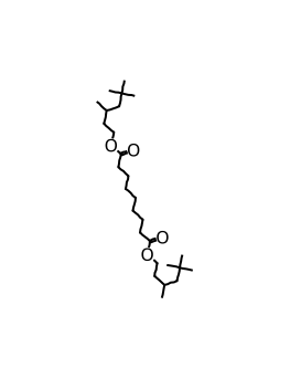 CC(CCOC(=O)CCCCCCCC(=O)OCCC(C)CC(C)(C)C)CC(C)(C)C